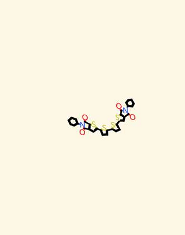 O=C1c2cc(-c3ccc(-c4ccc(-c5cc6c(s5)C(=O)N(c5ccccc5)C6=O)s4)s3)sc2C(=O)N1c1ccccc1